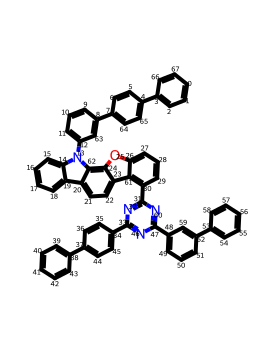 c1ccc(-c2ccc(-c3cccc(-n4c5ccccc5c5ccc6c(oc7cccc(-c8nc(-c9ccc(-c%10ccccc%10)cc9)nc(-c9cccc(-c%10ccccc%10)c9)n8)c76)c54)c3)cc2)cc1